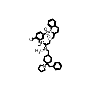 CN(CC1CCC(Cc2ccccc2)(N2CCCC2)CC1)C(=O)COCC1CCc2ccccc2N1S(=O)(=O)c1ccc(Cl)c(Cl)c1